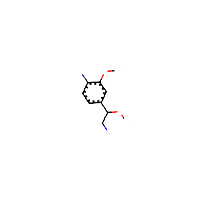 COc1cc(C(CN)OC)ccc1I.Cl